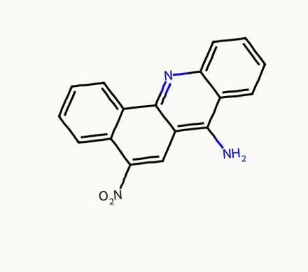 Nc1c2ccccc2nc2c1cc([N+](=O)[O-])c1ccccc12